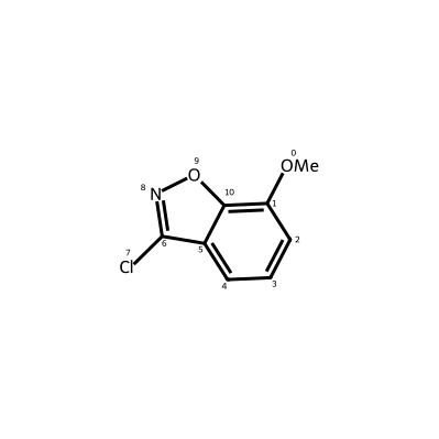 COc1cccc2c(Cl)noc12